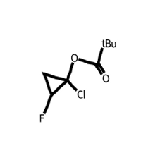 CC(C)(C)C(=O)OC1(Cl)CC1F